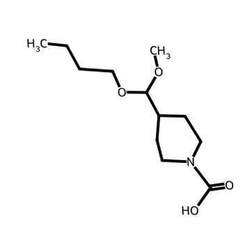 CCCCOC(OC)C1CCN(C(=O)O)CC1